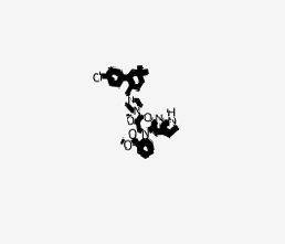 COC(=O)c1ccccc1N1CC(OC)C(N2CCN(CC3=C(c4ccc(Cl)cc4)CC(C)(C)CC3)CC2)Oc2nc3[nH]ccc3cc21